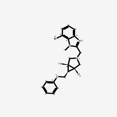 Cn1c(CN2C[C@@H]3[C@@H](COc4ccccc4)[C@@H]3C2)nc2cccc(Br)c21